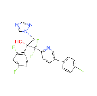 OC(Cn1cncn1)(c1ccc(F)cc1F)C(F)(F)c1ccc(-c2ccc(F)cc2)cn1